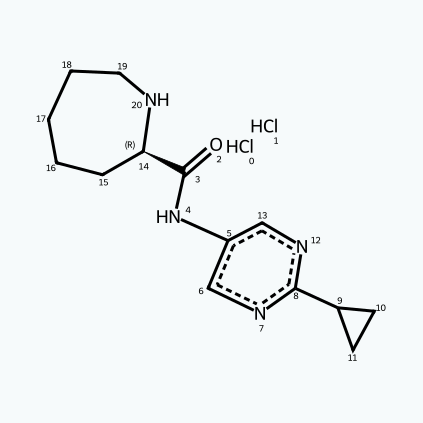 Cl.Cl.O=C(Nc1cnc(C2CC2)nc1)[C@H]1CCCCCN1